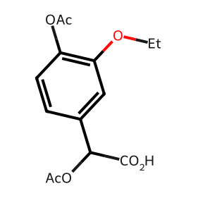 CCOc1cc(C(OC(C)=O)C(=O)O)ccc1OC(C)=O